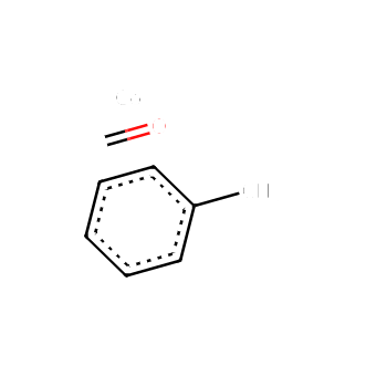 Cc1ccccc1.[C]=O.[Co]